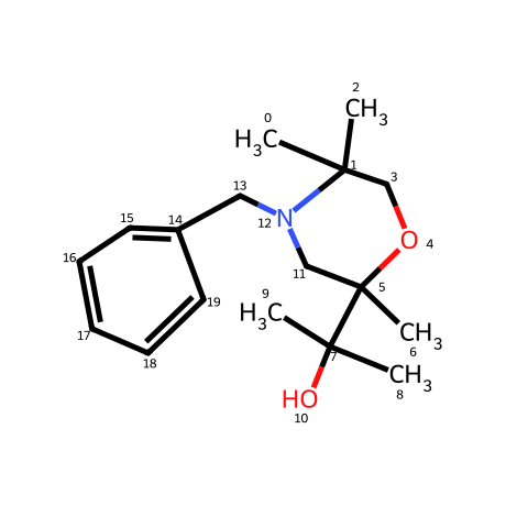 CC1(C)COC(C)(C(C)(C)O)CN1Cc1ccccc1